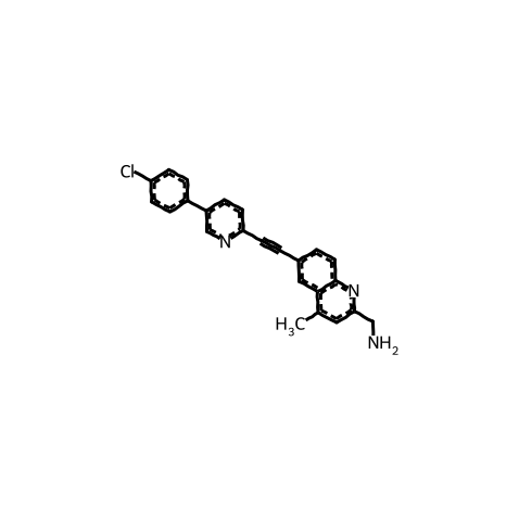 Cc1cc(CN)nc2ccc(C#Cc3ccc(-c4ccc(Cl)cc4)cn3)cc12